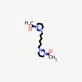 CC(=O)N1CCCN(CCCCCCN2CCCN(C(C)=O)C2)C1